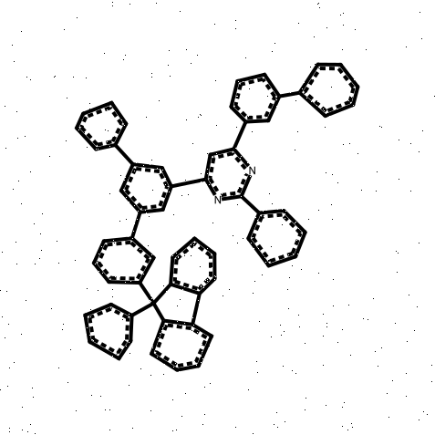 c1ccc(-c2cccc(-c3cc(-c4cc(-c5ccccc5)cc(-c5cccc(C6(c7ccccc7)c7ccccc7-c7ccccc76)c5)c4)nc(-c4ccccc4)n3)c2)cc1